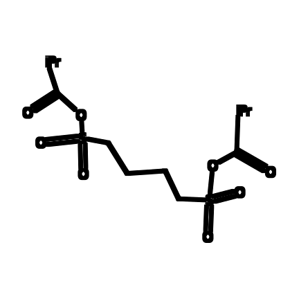 CC(C)C(=O)OS(=O)(=O)CCCCS(=O)(=O)OC(=O)C(C)C